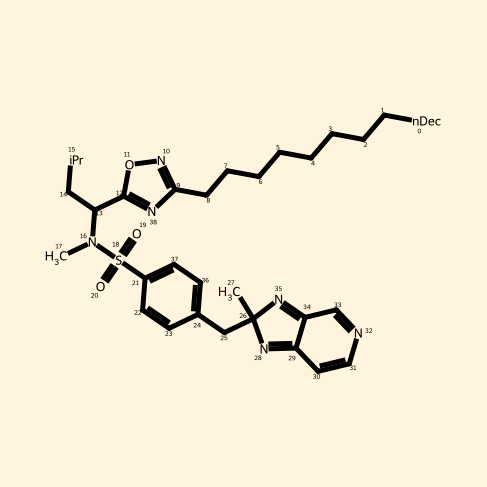 CCCCCCCCCCCCCCCCCCc1noc(C(CC(C)C)N(C)S(=O)(=O)c2ccc(CC3(C)N=c4ccncc4=N3)cc2)n1